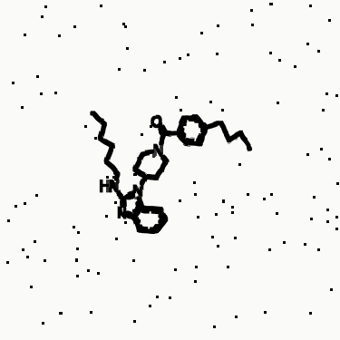 CCCCCCNc1nc2ccccc2n1C1CCN(C(=O)c2ccc(CCCC)cc2)CC1